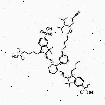 CCCC[N+]1=C(/C=C/C2=C(c3cccc(OCCCCOP(CCC#N)N(C(C)C)C(C)C)c3)C(=C/C=C3/N(CCCCS(=O)(=O)O)c4ccc(S(=O)(=O)O)cc4C3(C)C)/CCC2)C(C)(C)c2cc(S(=O)(=O)O)ccc21